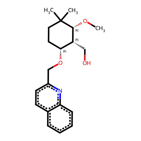 CO[C@@H]1[C@H](CO)[C@H](OCc2ccc3ccccc3n2)CCC1(C)C